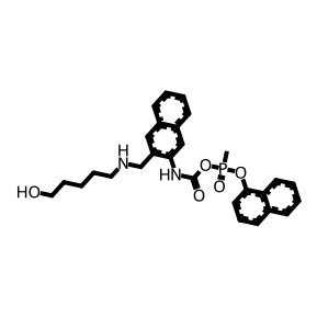 CP(=O)(OC(=O)Nc1cc2ccccc2cc1CNCCCCCO)Oc1cccc2ccccc12